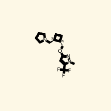 Cn1nc(OC[C@H]2CC[C@@H]2CN2CCCC2)cc1C(F)(F)F